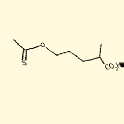 CC(=S)OCCCC(C)C(=O)O